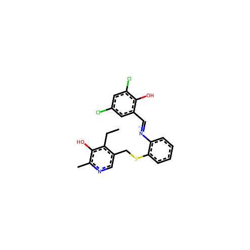 CCc1c(CSc2ccccc2/N=C/c2cc(Cl)cc(Cl)c2O)cnc(C)c1O